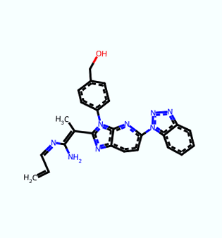 C=C/C=N\C(N)=C(/C)c1nc2ccc(-n3nnc4ccccc43)nc2n1-c1ccc(CO)cc1